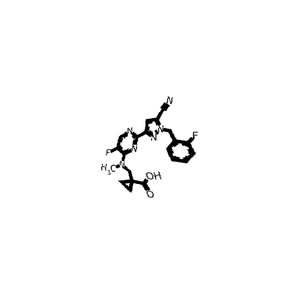 CN(CC1(C(=O)O)CC1)c1nc(-c2cc(C#N)n(Cc3ccccc3F)n2)ncc1F